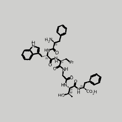 CC(C)C[C@H](NC(=O)[C@H](Cc1c[nH]c2ccccc12)NC(=O)[C@@H](N)Cc1ccccc1)C(=O)NCC(=O)N[C@H](C(=O)N[C@@H](Cc1ccccc1)C(=O)O)[C@@H](C)O